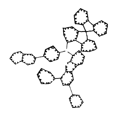 c1ccc(-c2cc(-c3ccccc3)c3oc4c(N(c5ccc(-c6ccc7ccccc7c6)cc5)c5cccc6c5-c5ccccc5C65c6ccccc6-c6ccccc65)cccc4c3c2)cc1